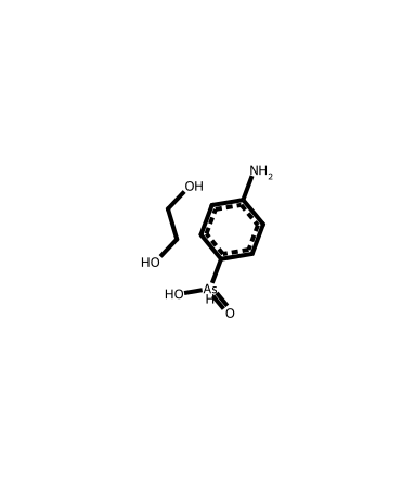 Nc1ccc([AsH](=O)O)cc1.OCCO